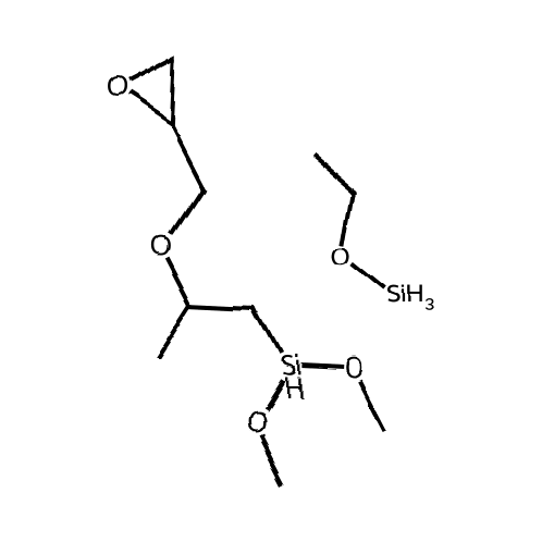 CCO[SiH3].CO[SiH](CC(C)OCC1CO1)OC